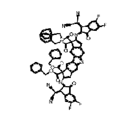 N#CC(C#N)=C1/C(=N/C2=Cc3cc4sc5cc6c(cc5c4cc3C2(C(=O)OCc2ccccc2)C(=O)OCc2ccccc2)C(C(=O)OCc2ccccc2)(C(=O)OCc2ccccc2)C(/N=C2\C(=O)c3cc(F)c(F)cc3C2=C(C#N)C#N)=C6)C(=O)c2cc(F)c(F)cc21